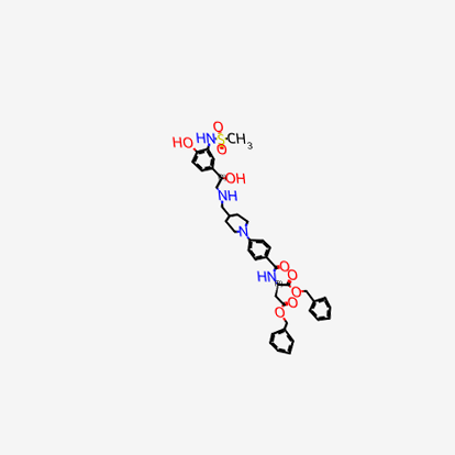 CS(=O)(=O)Nc1cc([C@@H](O)CNCC2CCN(c3ccc(C(=O)N[C@H](CC(=O)OCc4ccccc4)C(=O)OCc4ccccc4)cc3)CC2)ccc1O